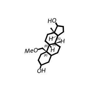 COC[C@]12CCC(O)CC1CC[C@@H]1[C@H]2CC[C@]2(C)C(O)CC[C@@H]12